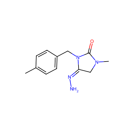 Cc1ccc(CN2C(=O)N(C)CC2=NN)cc1